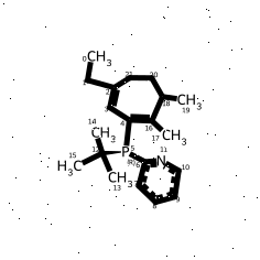 CCC1=CC([P@@](c2ccccn2)C(C)(C)C)=C(C)C(C)CC1